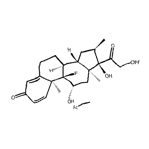 CC(C)=O.C[C@@H]1C[C@H]2[C@@H]3CCC4=CC(=O)C=C[C@]4(C)[C@@]3(F)[C@@H](O)C[C@]2(C)[C@@]1(O)C(=O)CO